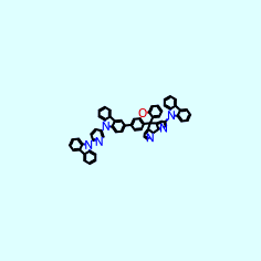 c1ccc2c(c1)Oc1cc(-c3ccc4c(c3)c3ccccc3n4-c3ccc(-n4c5ccccc5c5ccccc54)nc3)ccc1C21c2cccnc2-c2ncc(-n3c4ccccc4c4ccccc43)cc21